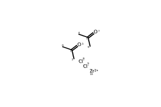 CC(C)=O.CC(C)=O.[Cl-].[Cl-].[Zr+2]